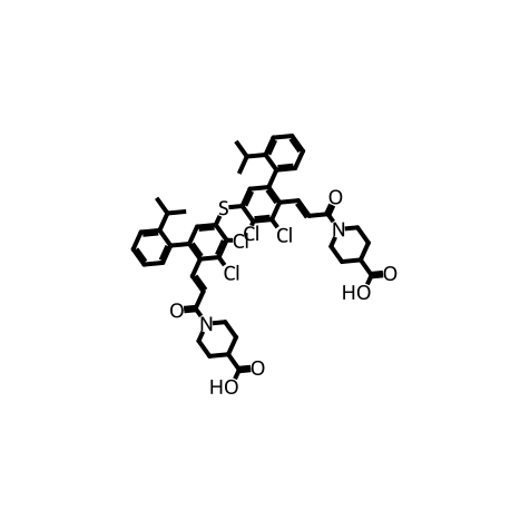 CC(C)c1ccccc1-c1cc(Sc2cc(-c3ccccc3C(C)C)c(/C=C/C(=O)N3CCC(C(=O)O)CC3)c(Cl)c2Cl)c(Cl)c(Cl)c1/C=C/C(=O)N1CCC(C(=O)O)CC1